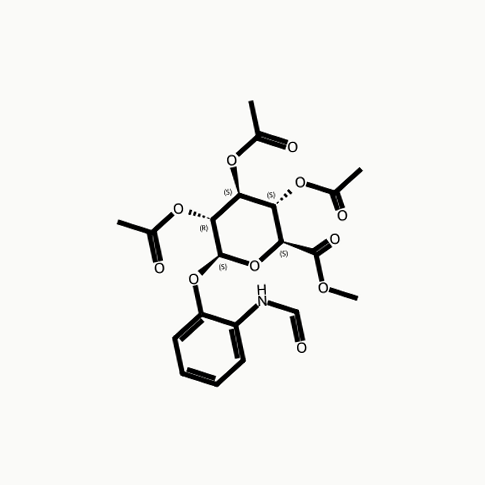 COC(=O)[C@H]1O[C@@H](Oc2ccccc2NC=O)[C@H](OC(C)=O)[C@@H](OC(C)=O)[C@@H]1OC(C)=O